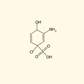 NC1=CC(Cl)(S(=O)(=O)O)C=CC1O